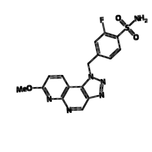 COc1ccc2c(ncc3nnn(Cc4ccc(S(N)(=O)=O)c(F)c4)c32)n1